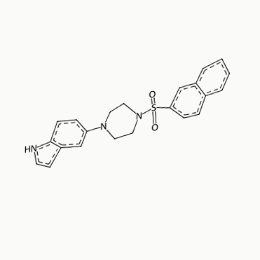 O=S(=O)(c1ccc2ccccc2c1)N1CCN(c2ccc3[nH]ccc3c2)CC1